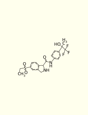 CCS(=O)(=O)c1ccc2c(c1)CNC2C(=O)Nc1ccc(C(C)(O)C(F)(F)F)cc1